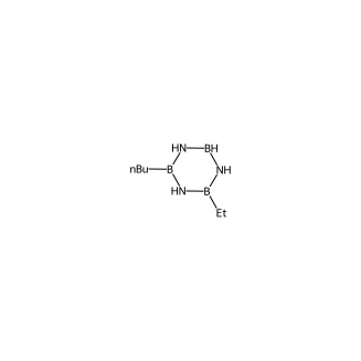 CCCCB1NBNB(CC)N1